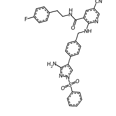 N#Cc1cnc(NCc2ccc(-c3cn(S(=O)(=O)c4ccccc4)nc3N)cc2)c(C(=O)NCCc2ccc(F)cc2)c1